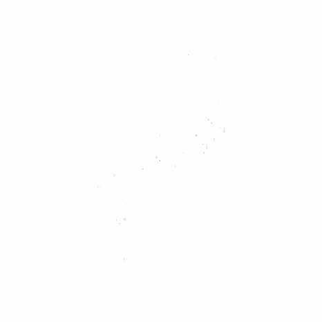 Cc1ccc(Cc2ccc(OC(=O)N3CCC(Sc4nnnn4-c4ccc(C(=O)O)cc4)CC3)cc2)nc1